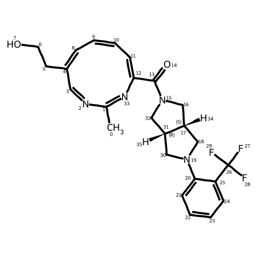 Cc1ncc(CCO)ccccc(C(=O)N2C[C@@H]3CN(c4ccccc4C(F)(F)F)C[C@@H]3C2)n1